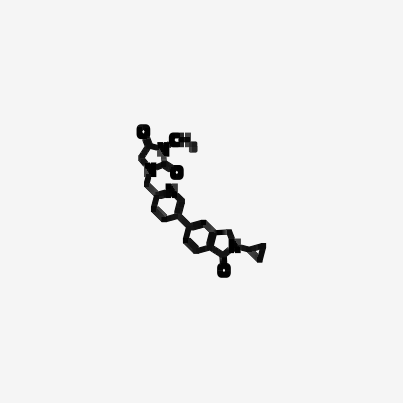 CN1C(=O)CN(Cc2ccc(-c3ccc4c(c3)CN(C3CC3)C4=O)cn2)C1=O